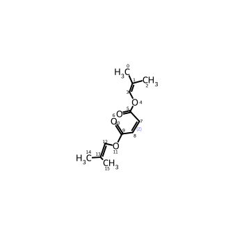 CC(C)=COC(=O)/C=C\C(=O)OC=C(C)C